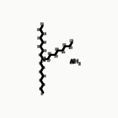 CCCCCCC[CH2][Al]([CH2]CCCCCCC)[CH2]CCCCCCC.[AlH3]